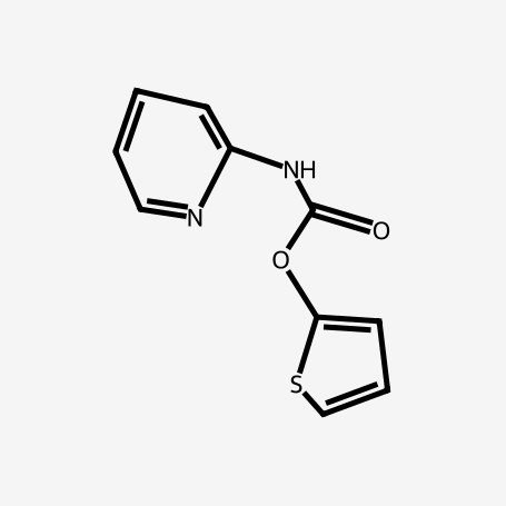 O=C(Nc1ccccn1)Oc1cccs1